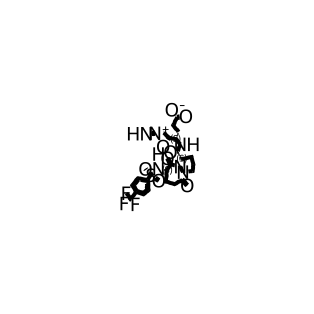 N=[N+]=CC(=O)[C@H](CCC(=O)[O-])NC(=O)[C@@H]1CCCN2C(=O)CC[C@H](NS(=O)(=O)c3ccc(C(F)(F)F)cc3)C(=O)N12